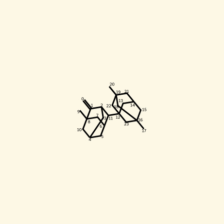 C=C1C2CC3CC(CC1(C)C3)C2C12CC3CC(C)(CC(C)(C3)C1)C2